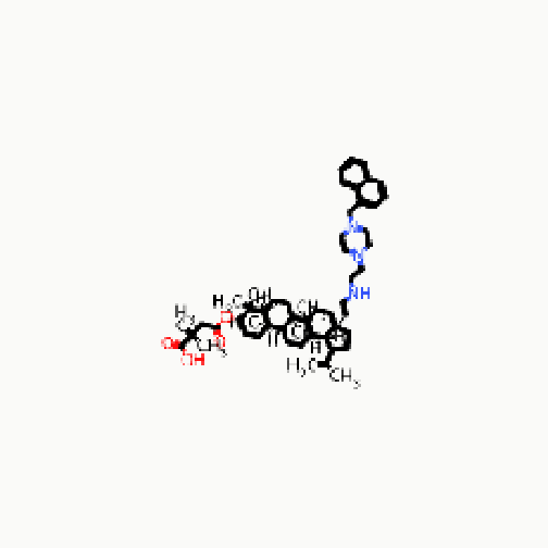 C=C(C)C1CC[C@]2(CCNCCN3CCN(Cc4cccc5ccccc45)CC3)CC[C@]3(C)[C@H](CC[C@@H]4[C@@]5(C)CC[C@H](OC(=O)CC(C)(C)C(=O)O)C(C)(C)[C@@H]5CC[C@]43C)[C@@H]12